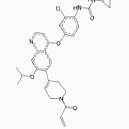 C=CC(=O)N1CC=C(c2cc3c(Oc4ccc(NC(=O)NC5CC5)c(Cl)c4)ccnc3cc2OC(C)C)CC1